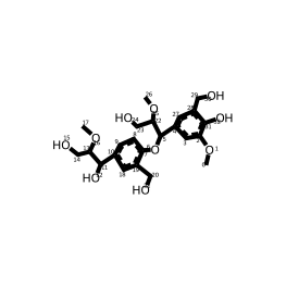 COc1cc(C(Oc2ccc(C(O)C(CO)OC)cc2CO)C(CO)OC)cc(CO)c1O